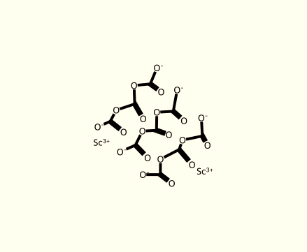 O=C([O-])OC(=O)OC(=O)[O-].O=C([O-])OC(=O)OC(=O)[O-].O=C([O-])OC(=O)OC(=O)[O-].[Sc+3].[Sc+3]